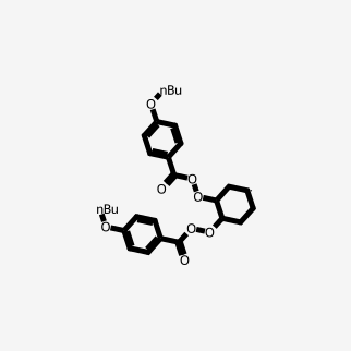 CCCCOc1ccc(C(=O)OO[C]2CC[CH]CC2OOC(=O)c2ccc(OCCCC)cc2)cc1